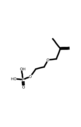 C=C(C)COCCOP(=O)(O)O